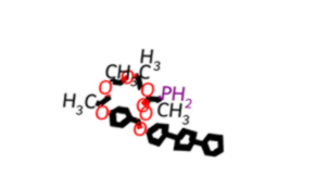 CC(COC(=O)C(C)P)OCC(C)OCC(C)Oc1ccc(C(=O)Oc2ccc(-c3ccc(-c4ccccc4)cc3)cc2)cc1